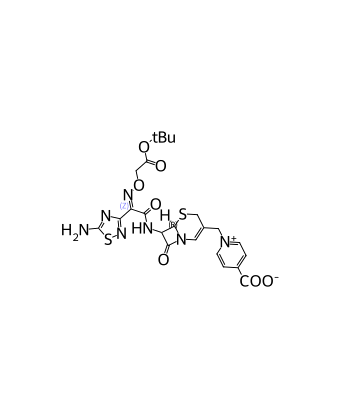 CC(C)(C)OC(=O)CO/N=C(\C(=O)NC1C(=O)N2C=C(C[n+]3ccc(C(=O)[O-])cc3)CS[C@H]12)c1nsc(N)n1